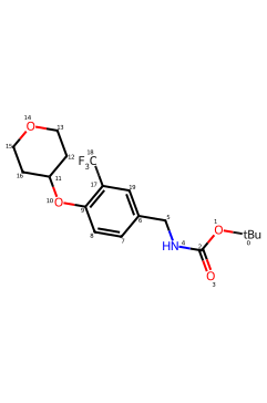 CC(C)(C)OC(=O)NCc1ccc(OC2CCOCC2)c(C(F)(F)F)c1